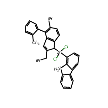 Cc1ccccc1-c1c(C(C)C)ccc2c1C=C(CC(C)C)[CH]2[Zr]([Cl])([Cl])[c]1cccc2c1[SiH2]c1ccccc1-2